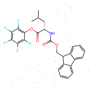 CC(C)C[C@H](NC(=O)OCC1c2ccccc2-c2ccccc21)C(=O)Oc1c(F)c(F)c(F)c(F)c1F